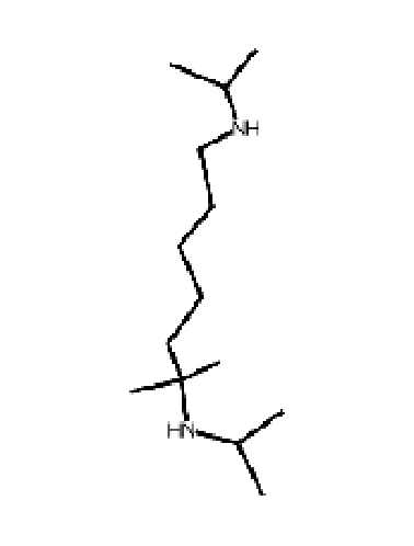 CC(C)NCCCCCC(C)(C)NC(C)C